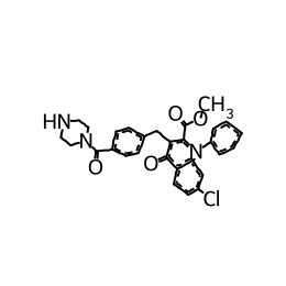 COC(=O)c1c(Cc2ccc(C(=O)N3CCNCC3)cc2)c(=O)c2ccc(Cl)cc2n1-c1ccccc1